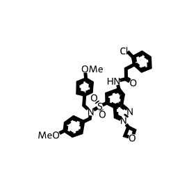 COc1ccc(CN(Cc2ccc(OC)cc2)S(=O)(=O)c2cc(NC(=O)Cc3ccccc3Cl)cc3nn(C4COC4)cc23)cc1